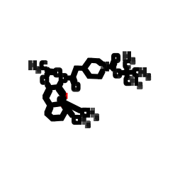 CC(=O)OC1=CC2=CC=CCC23OC(C)(C)CCC3=C1OC(=O)CC1CCN(C(=O)OC(C)(C)C)CC1